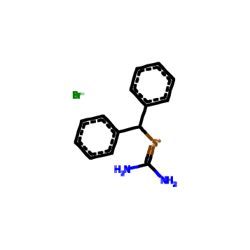 NC(N)=[S+]C(c1ccccc1)c1ccccc1.[Br-]